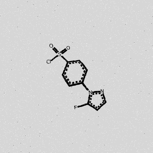 O=S(=O)(Cl)c1ccc(-n2nccc2F)cc1